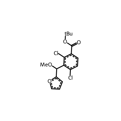 COC(c1ccco1)c1c(Cl)ccc(C(=O)OC(C)(C)C)c1Cl